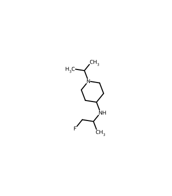 CC(CF)NC1CCN(C(C)C)CC1